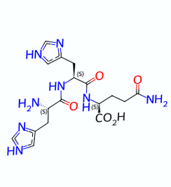 NC(=O)CC[C@H](NC(=O)[C@H](Cc1c[nH]cn1)NC(=O)[C@@H](N)Cc1c[nH]cn1)C(=O)O